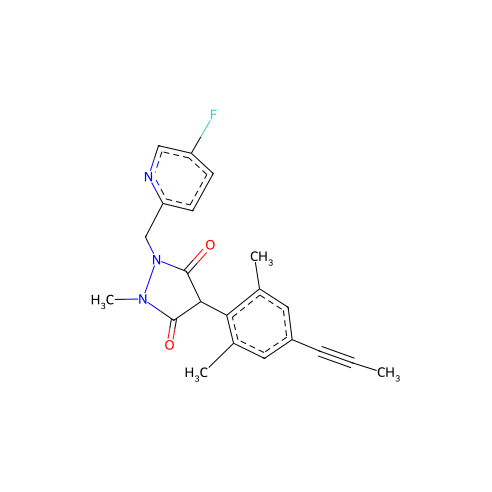 CC#Cc1cc(C)c(C2C(=O)N(C)N(Cc3ccc(F)cn3)C2=O)c(C)c1